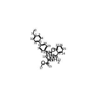 CCc1ccc(-c2ccc(N(C[C@@H](N)[C@@H](C)OC)C(=O)N[C@@H](C)c3ccccc3)cc2)cc1